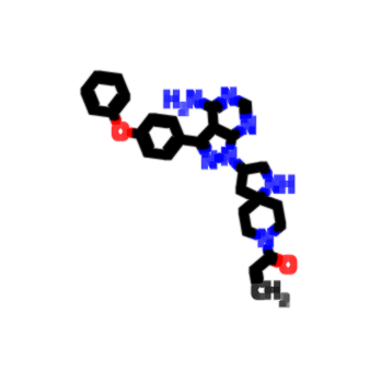 C=CC(=O)N1CCC2(CC1)CC(N1N=C(c3ccc(Oc4ccccc4)cc3)C3C(N)=NC=NC31)CN2